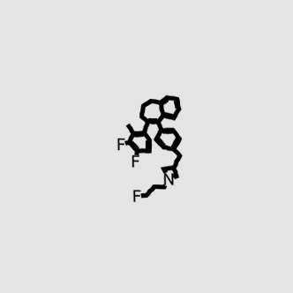 Cc1c(C2=C(c3ccc(CC4CN(CCCF)C4)cc3)c3ccccc3CCC2)ccc(F)c1F